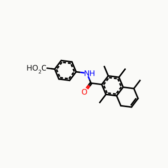 Cc1c(C)c2c(c(C)c1C(=O)Nc1ccc(C(=O)O)cc1)CC=CC2C